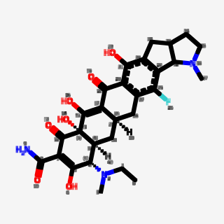 CCN(C)[C@@H]1C(O)=C(C(N)=O)C(=O)[C@@]2(O)C(O)=C3C(=O)c4c(O)c5c(c(F)c4C[C@H]3C[C@@H]12)C1C(CCN1C)C5